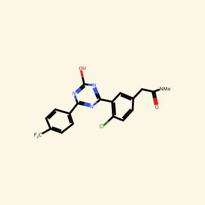 CNC(=O)Cc1ccc(Cl)c(-c2nc(O)nc(-c3ccc(C(F)(F)F)cc3)n2)c1